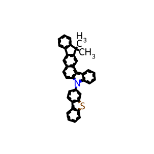 CC1(C)c2ccccc2-c2cc3ccc4c(c3cc21)c1ccccc1n4-c1ccc2c(c1)sc1ccccc12